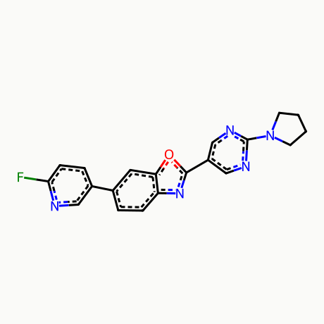 Fc1ccc(-c2ccc3nc(-c4cnc(N5CCCC5)nc4)oc3c2)cn1